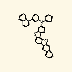 c1ccc(N(c2cccc(-c3cccc4ccccc34)c2)c2ccc3c(c2)sc2ccc4c5cc6ccccc6cc5oc4c23)cc1